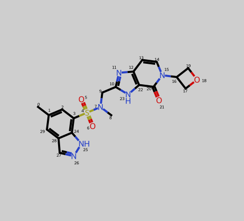 Cc1cc(S(=O)(=O)N(C)Cc2nc3ccn(C4COC4)c(=O)c3[nH]2)c2[nH]ncc2c1